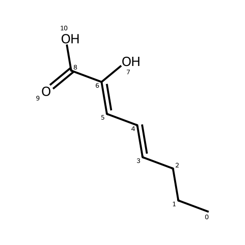 CCCC=CC=C(O)C(=O)O